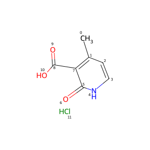 Cc1cc[nH]c(=O)c1C(=O)O.Cl